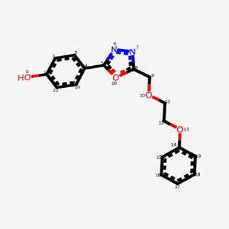 Oc1ccc(-c2nnc(COCCOc3ccccc3)o2)cc1